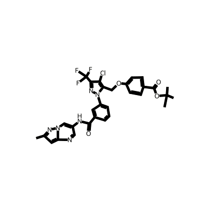 Cc1cc2ncc(NC(=O)c3cccc(-n4nc(C(F)(F)F)c(Cl)c4COc4ccc(C(=O)OC(C)(C)C)cc4)c3)cn2n1